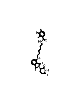 Cc1ccc(C(=O)NCCCCCCNc2cccc3c2C(=O)N(C2CCC(=O)NC2=O)C3=O)c(C)c1I